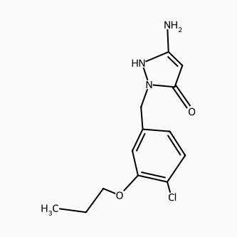 CCCOc1cc(Cn2[nH]c(N)cc2=O)ccc1Cl